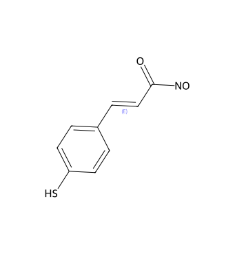 O=NC(=O)/C=C/c1ccc(S)cc1